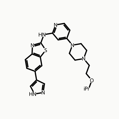 CC(C)OCCN1CCN(c2ccnc(Nc3nc4ccc(-c5cn[nH]c5)cc4s3)c2)CC1